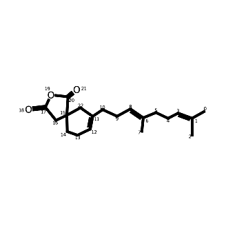 CC(C)=CCC/C(C)=C/CCC1=CCCC2(CC(=O)OC2=O)C1